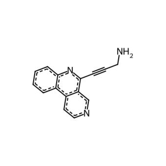 NCC#Cc1nc2ccccc2c2ccncc12